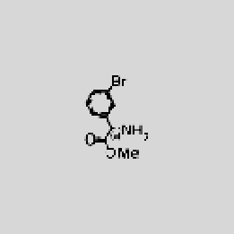 COC(=O)[C@@H](N)c1cccc(Br)c1